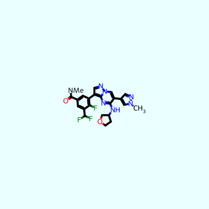 CNC(=O)c1cc(-c2cnn3cc(-c4cnn(C)c4)c(NC4CCOC4)nc23)c(F)c(C(F)F)c1